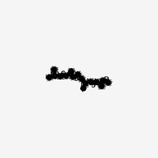 Cc1c(-c2ccccc2)nc(-c2ccc(-c3cccc4c3sc3ccc5c(c6ccccc6n5-c5ccc6c(c5)sc5cc(C7CCC(c8ccccc8)=NC(c8ccccc8)=N7)ccc56)c34)cc2)nc1-c1ccc2c(c1)sc1cc(-n3c4ccccc4c4c5c(ccc43)oc3ccccc35)ccc12